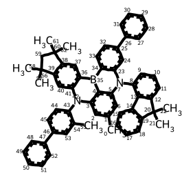 Cc1cc2c3c(c1)N(c1cccc4c1-c1ccccc1C4(C)C)c1cc(-c4ccccc4)ccc1B3c1cc3c(cc1N2c1ccc(-c2ccccc2)cc1C)C(C)(C)CC3(C)C